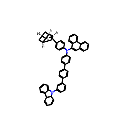 C1=CC2c3ccccc3N(c3cccc(-c4ccc(-c5ccc(N(c6ccc(C7CC89[C@H]%10C[C@H]8C[C@H]9[C@H]7C%10)cc6)c6cc7ccccc7c7ccccc67)cc5)cc4)c3)C2C=C1